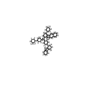 c1ccc(-c2ccc(N(c3ccc(-c4cccc5c4sc4ccccc45)cc3)c3ccc(-c4ccccc4)c4c3oc3cc5ccccc5cc34)cc2)cc1